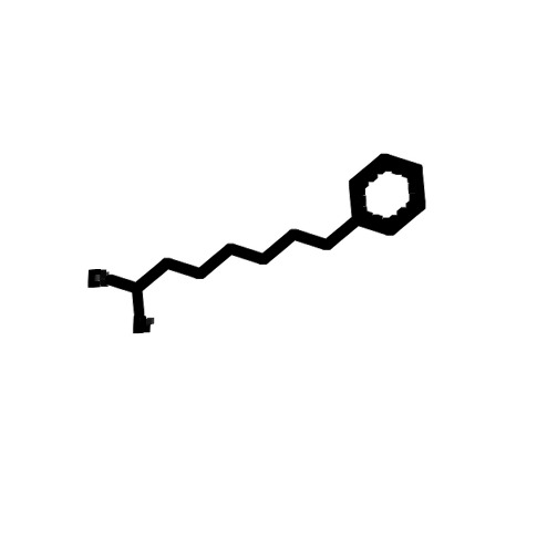 CCC(Br)CCCCCCc1ccccc1